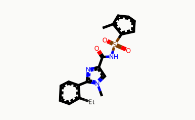 CCc1ccccc1-c1nc(C(=O)NS(=O)(=O)c2ccccc2C)cn1C